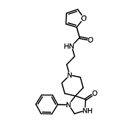 O=C(NCCN1CCC2(CC1)C(=O)NCN2c1ccccc1)c1ccco1